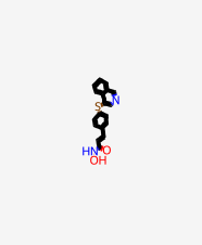 O=C(/C=C/c1ccc(Sc2cncc3ccccc23)cc1)NO